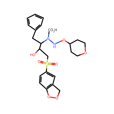 O=C(O)N(NOC1CCOCC1)C(Cc1ccccc1)C(O)CS(=O)(=O)c1ccc2c(c1)COO2